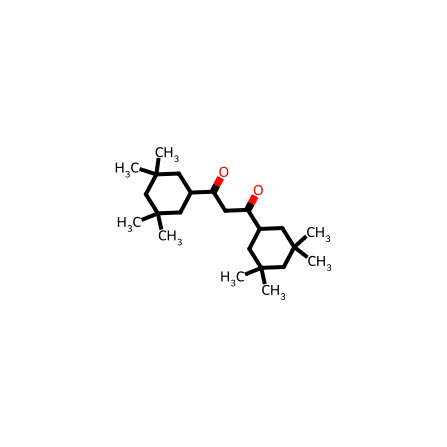 CC1(C)CC(C(=O)CC(=O)C2CC(C)(C)CC(C)(C)C2)CC(C)(C)C1